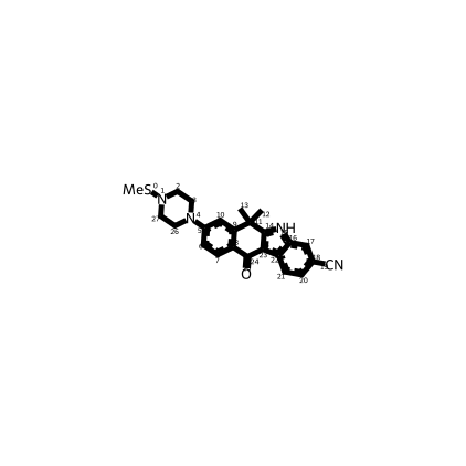 CSN1CCN(c2ccc3c(c2)C(C)(C)c2[nH]c4cc(C#N)ccc4c2C3=O)CC1